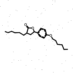 CCCCCCOc1ccc(C2CC(CCCCCC)C(=O)O2)cc1